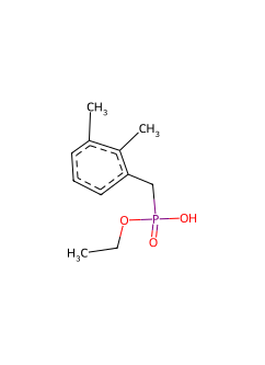 CCOP(=O)(O)Cc1cccc(C)c1C